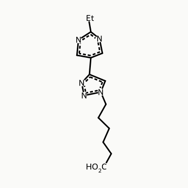 CCc1ncc(-c2cn(CCCCCC(=O)O)nn2)cn1